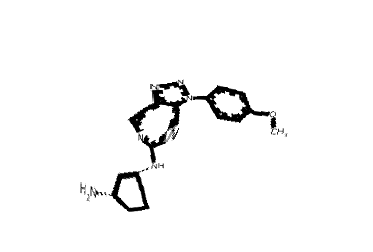 COc1ccc(-n2nnc3cnc(N[C@@H]4CC[C@H](N)C4)nc32)cc1